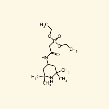 CCOP(=O)(CC(=O)NC1CC(C)(C)NC(C)(C)C1)OCC